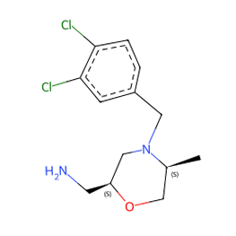 C[C@H]1CO[C@@H](CN)CN1Cc1ccc(Cl)c(Cl)c1